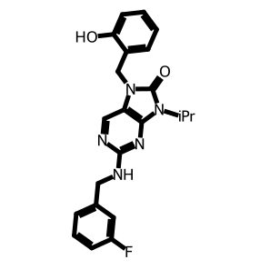 CC(C)n1c(=O)n(Cc2ccccc2O)c2cnc(NCc3cccc(F)c3)nc21